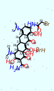 Br.CN(C)c1cc(NC(=O)CBr)c(O)c2c1CC1CC3[C@H](N(C)C)C(O)=C(C(N)=O)C(=O)C3(O)C(O)=C1C2=O